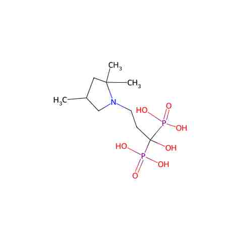 CC1CN(CCC(O)(P(=O)(O)O)P(=O)(O)O)C(C)(C)C1